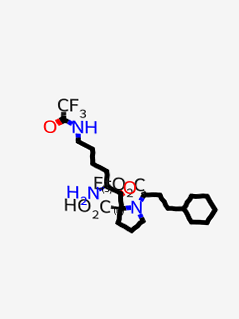 CCOC(=O)C(CCC1CCCCC1)N1CCC[C@]1(C(=O)O)C(=O)[C@@H](N)CCCCNC(=O)C(F)(F)F